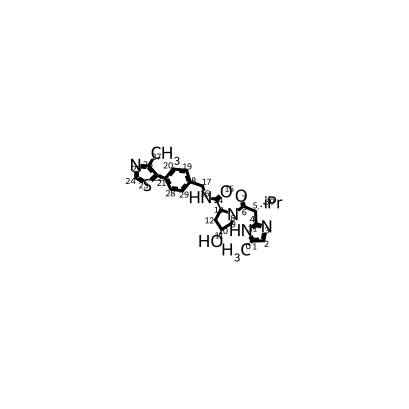 Cc1cnc([C@H](C(=O)N2C[C@H](O)C[C@H]2C(=O)NCc2ccc(-c3scnc3C)cc2)C(C)C)[nH]1